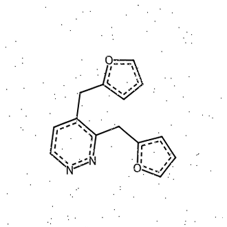 c1coc(Cc2ccnnc2Cc2ccco2)c1